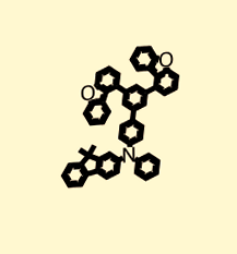 CC1(C)c2ccccc2-c2ccc(N(c3ccccc3)c3ccc(-c4cc(-c5cccc6oc7ccccc7c56)cc(-c5cccc6oc7ccccc7c56)c4)cc3)cc21